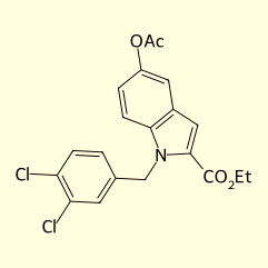 CCOC(=O)c1cc2cc(OC(C)=O)ccc2n1Cc1ccc(Cl)c(Cl)c1